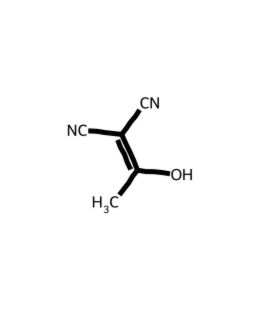 CC(O)=C(C#N)C#N